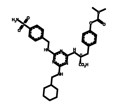 CN(C)C(=O)Oc1ccc(C[C@H](Nc2nc(NCc3ccc(S(N)(=O)=O)cc3)nc(NCC3CCCCC3)n2)C(=O)O)cc1